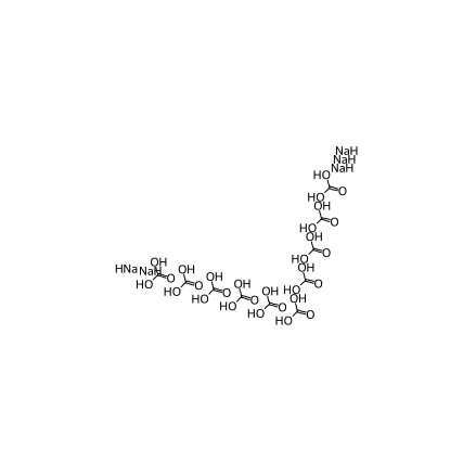 O=C(O)O.O=C(O)O.O=C(O)O.O=C(O)O.O=C(O)O.O=C(O)O.O=C(O)O.O=C(O)O.O=C(O)O.O=C(O)O.[NaH].[NaH].[NaH].[NaH].[NaH]